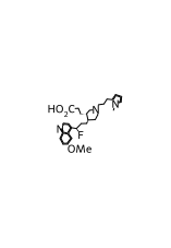 COc1ccc2nccc([C@H](F)CC[C@@H]3CCN(CCCc4cccn4C)C[C@H]3CCC(=O)O)c2c1